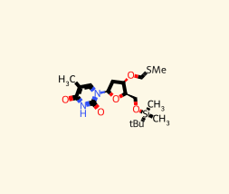 CSCO[C@@H]1C[C@H](n2cc(C)c(=O)[nH]c2=O)O[C@@H]1CO[Si](C)(C)C(C)(C)C